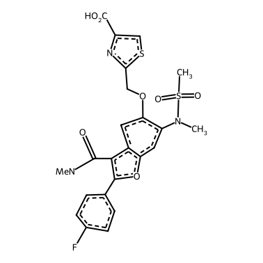 CNC(=O)c1c(-c2ccc(F)cc2)oc2cc(N(C)S(C)(=O)=O)c(OCc3nc(C(=O)O)cs3)cc12